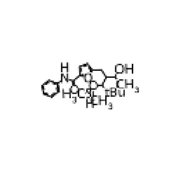 CC(O)C(Cc1ccc(C(=O)Nc2ccccc2)o1)C(O[SiH](C)C)C(C)(C)C